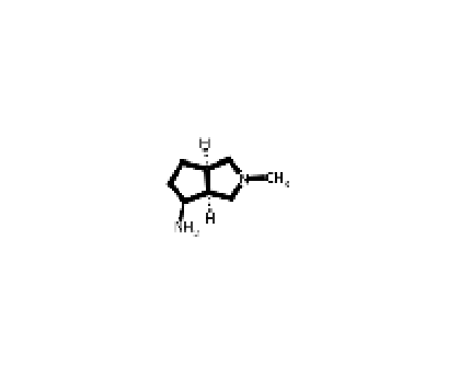 CN1C[C@@H]2CC[C@H](N)[C@@H]2C1